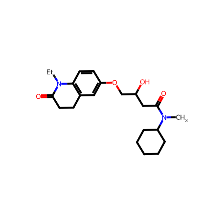 CCN1C(=O)CCc2cc(OCC(O)CC(=O)N(C)C3CCCCC3)ccc21